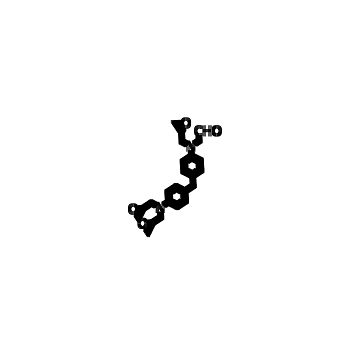 O=CCN(CC1CO1)c1ccc(Cc2ccc(N(CC3CO3)CC3CO3)cc2)cc1